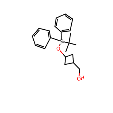 CC(C)(C)[Si](OC1CC(CO)C1)(c1ccccc1)c1ccccc1